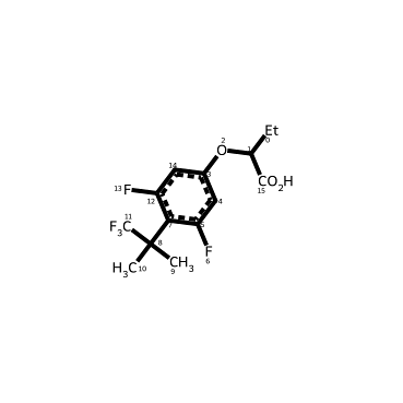 CCC(Oc1cc(F)c(C(C)(C)C(F)(F)F)c(F)c1)C(=O)O